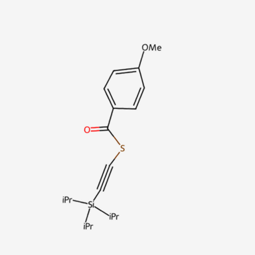 COc1ccc(C(=O)SC#C[Si](C(C)C)(C(C)C)C(C)C)cc1